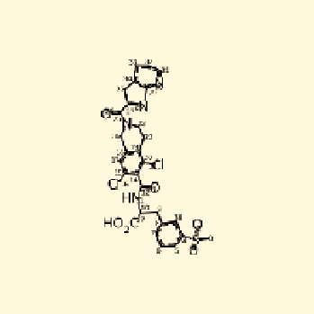 CS(=O)(=O)c1cccc(CC(NC(=O)c2c(Cl)cc3c(c2Cl)CCN(C(=O)C2=Nc4ncccc4C2)C3)C(=O)O)c1